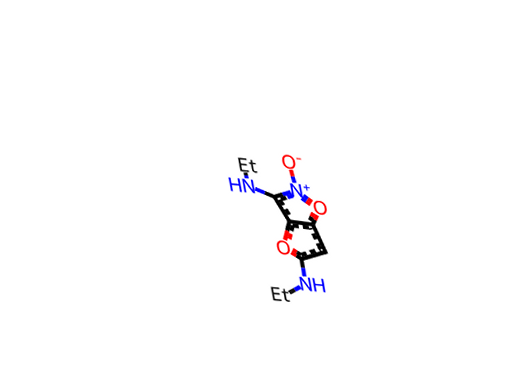 CCNc1cc2o[n+]([O-])c(NCC)c2o1